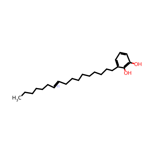 CCCCCC/C=C/CCCCCCCCCc1cccc(O)c1O